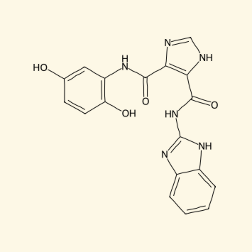 O=C(Nc1cc(O)ccc1O)c1nc[nH]c1C(=O)Nc1nc2ccccc2[nH]1